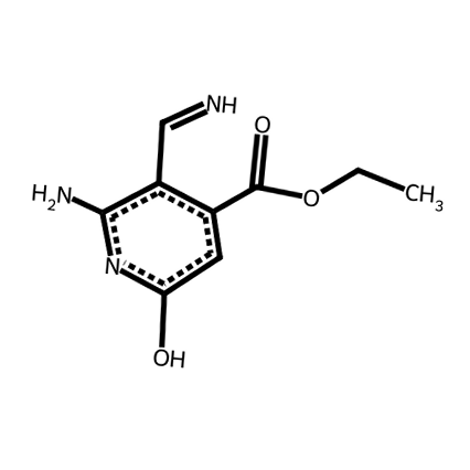 CCOC(=O)c1cc(O)nc(N)c1C=N